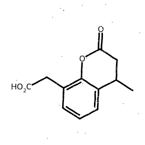 CC1CC(=O)Oc2c(CC(=O)O)cccc21